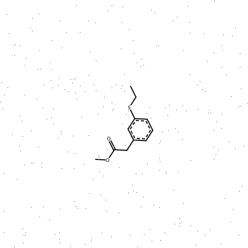 CCSc1cccc(CC(=O)OC)c1